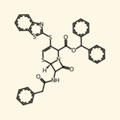 O=C(Cc1ccccc1)NC1C(=O)N2C(C(=O)OC(c3ccccc3)c3ccccc3)C(Sc3nc4ccccc4s3)=CS[C@@H]12